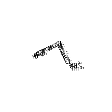 [Cl-].[Cl-].[Cl-].[Cl-].[Cl-].[Cl-].[Cl-].[Cl-].[Cl-].[Cl-].[Cl-].[Cl-].[Cl-].[Cl-].[Cl-].[Cl-].[Cl-].[Cl-].[Er+3].[Eu+3].[Gd+3].[Sm+3].[Tm+3].[Yb+3]